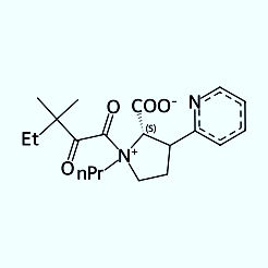 CCC[N+]1(C(=O)C(=O)C(C)(C)CC)CCC(c2ccccn2)[C@H]1C(=O)[O-]